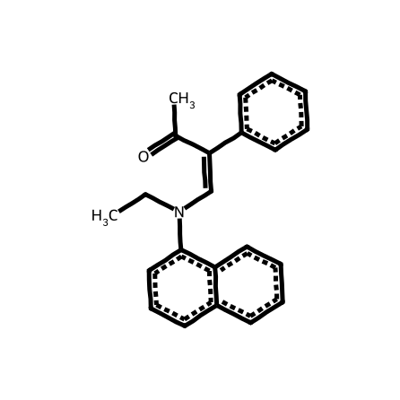 CCN(/C=C(\C(C)=O)c1ccccc1)c1cccc2ccccc12